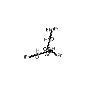 CCCC(CC)CCCCC(=O)NCCCCC(NC(=O)CCCCC(C)C)C(=O)NC(CCCCNC(=O)CCCCC(C)C)C(C)=O